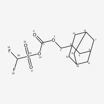 O=C(OCC12CC3CC(CC(C3)C1)C2)OS(=O)(=O)C(F)F